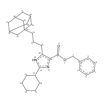 O=C(OCc1ccccc1)c1nc(C2CCCCC2)[nH]c1CCCC12CC3CC(CC(C3)C1)C2